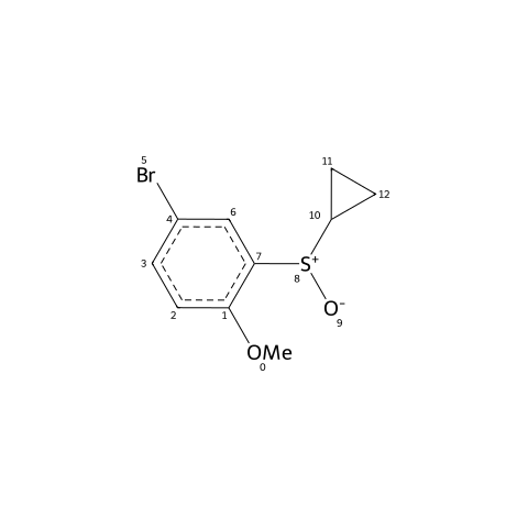 COc1ccc(Br)cc1[S+]([O-])C1CC1